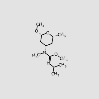 CO/C(=N\C(C)C)N(C)[C@@H]1C[C@H](OC)O[C@H](C)C1